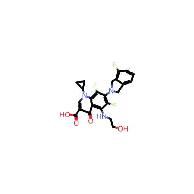 O=C(O)c1cn(C2CC2)c2c(F)c(N3Cc4cccc(F)c4C3)c(F)c(NCCO)c2c1=O